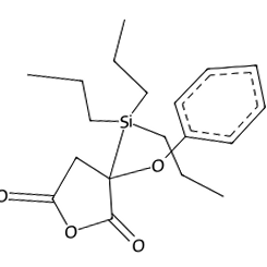 CCC[Si](CCC)(CCC)C1(Oc2ccccc2)CC(=O)OC1=O